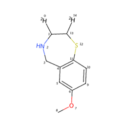 [2H]C1NCc2cc(OC)ccc2SC1[2H]